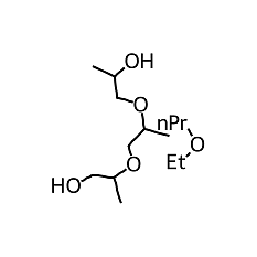 CC(O)COC(C)COC(C)CO.CCCOCC